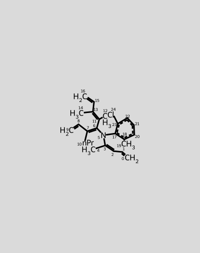 C=C/C=C(/C)N(C(=C(/C=C)CCC)/C(C)=C(\C)C=C)c1c(C)cccc1Cl